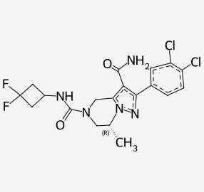 C[C@@H]1CN(C(=O)NC2CC(F)(F)C2)Cc2c(C(N)=O)c(-c3ccc(Cl)c(Cl)c3)nn21